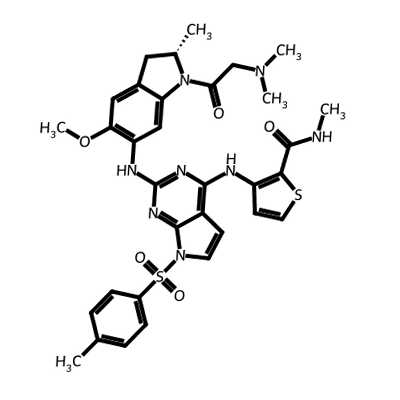 CNC(=O)c1sccc1Nc1nc(Nc2cc3c(cc2OC)C[C@H](C)N3C(=O)CN(C)C)nc2c1ccn2S(=O)(=O)c1ccc(C)cc1